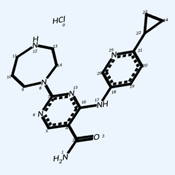 Cl.NC(=O)c1cnc(N2CCCNCC2)nc1Nc1ccc(C2CC2)nc1